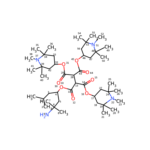 CC(C)CC(CC(C)(C)N)OC(=O)C(C(=O)OC1CC(C)(C)N(C)C(C)(C)C1)C(C(=O)OC1CC(C)(C)N(C)C(C)(C)C1)C(=O)OC1CC(C)(C)N(C)C(C)(C)C1